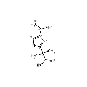 CCCC(C(C)CC)C(C)(C)c1nc(C(C)C(C)C)c[nH]1